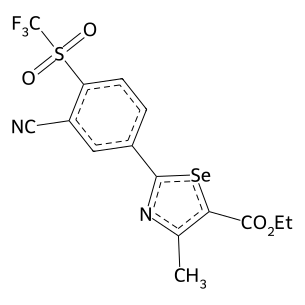 CCOC(=O)c1[se]c(-c2ccc(S(=O)(=O)C(F)(F)F)c(C#N)c2)nc1C